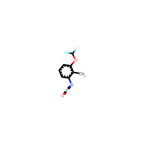 Cc1c(N=C=O)cccc1OC(F)F